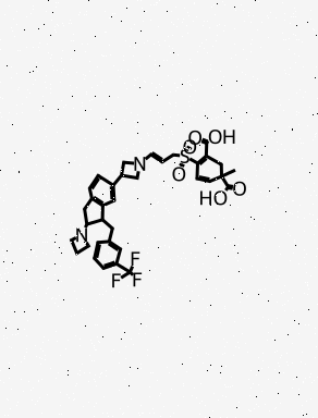 CC1(C(=O)O)C=CC(S(=O)(=O)CC=CN2CC(c3ccc4c(c3)C(Cc3cccc(C(F)(F)F)c3)C(N3CCC3)C4)C2)=C(C(=O)O)C1